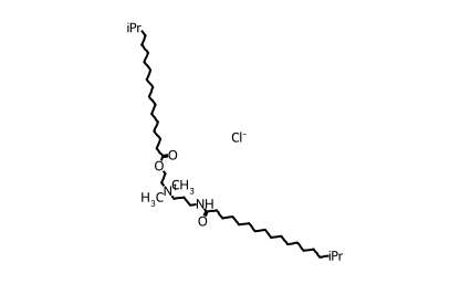 CC(C)CCCCCCCCCCCCCCC(=O)NCCC[N+](C)(C)CCOC(=O)CCCCCCCCCCCCCCC(C)C.[Cl-]